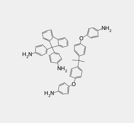 CC(C)(c1ccc(Oc2ccc(N)cc2)cc1)c1ccc(Oc2ccc(N)cc2)cc1.Nc1ccc(C2(c3ccc(N)cc3)c3ccccc3-c3ccccc32)cc1